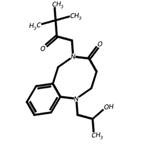 CC(O)CN1CCC(=O)N(CC(=O)C(C)(C)C)Cc2ccccc21